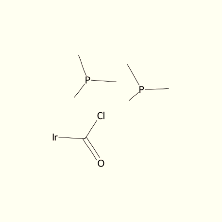 CP(C)C.CP(C)C.O=[C](Cl)[Ir]